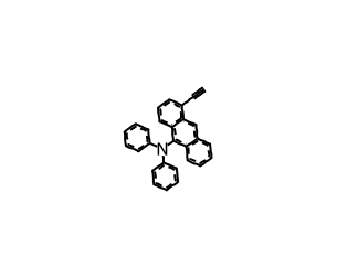 C#Cc1cccc2c(N(c3ccccc3)c3ccccc3)c3ccccc3cc12